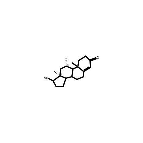 CC(=O)C1CCC2C3CCC4=CC(=O)CCC4(C)C3[C@@H](C)C[C@]12C